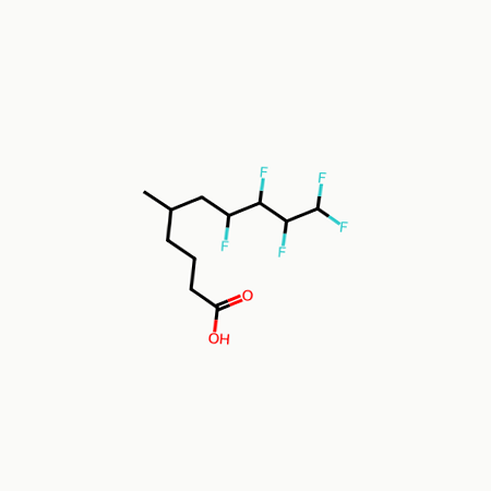 CC(CCCC(=O)O)CC(F)C(F)C(F)C(F)F